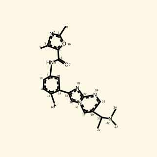 Cc1nc(C)c(C(=O)Nc2ccc(F)c(-c3cn4cc(C(C)N(C)C)cnc4n3)c2)o1